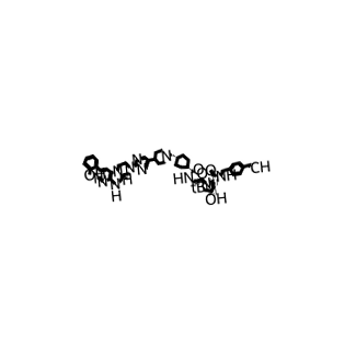 C#Cc1ccc(CNC(=O)[C@@H]2C[C@@H](O)CN2C(=O)[C@@H](NC(=O)[C@H]2CC[C@@H](CN3CCC(c4cnc(N5CCN6c7cc(-c8ccccc8O)nnc7NC[C@H]6C5)nc4)CC3)CC2)C(C)(C)C)cc1